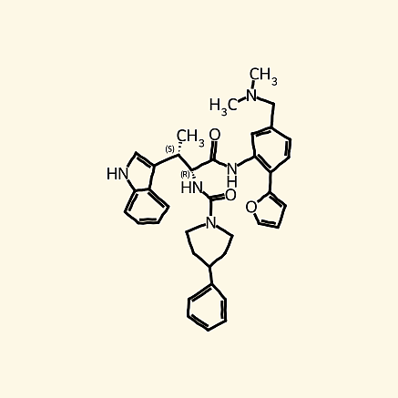 C[C@@H](c1c[nH]c2ccccc12)[C@@H](NC(=O)N1CCC(c2ccccc2)CC1)C(=O)Nc1cc(CN(C)C)ccc1-c1ccco1